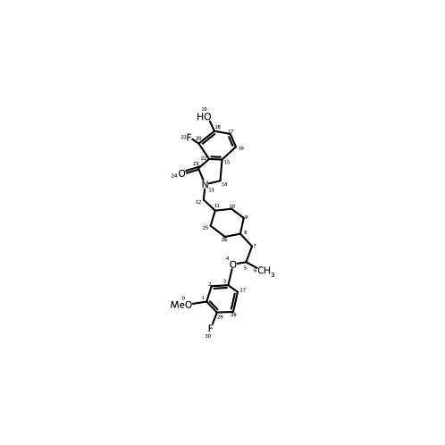 COc1cc(OC(C)CC2CCC(CN3Cc4ccc(O)c(F)c4C3=O)CC2)ccc1F